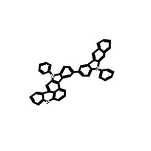 c1ccc(-n2c3ccc(-c4ccc5c(c4)c4c6cccc7c6c(cc4n5-c4ccccc4)-c4ccccc4S7)cc3c3cc4ccccc4cc32)cc1